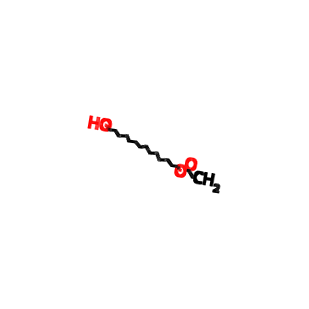 C=CC(=O)OCCCCCCCCCCCCCCO